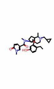 CCc1ccc(O)cc1C12CCN(CC3CC3)C(C)C13CCC(N(C)C(=O)c1ccc(=O)n(C)c1)C2CC3